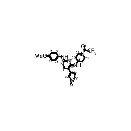 COc1ccc(Nc2ncc(-c3cnn(C)c3)c(NC3CCN(C(=O)C(F)(F)F)CC3)n2)cc1